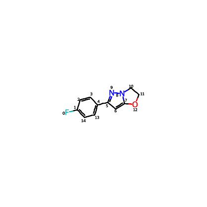 Fc1ccc(-c2cc3n(n2)CCO3)cc1